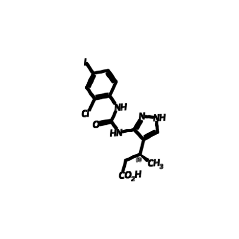 C[C@@H](CC(=O)O)c1c[nH]nc1NC(=O)Nc1ccc(I)cc1Cl